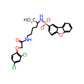 O=C(COc1ccc(Cl)cc1Cl)NCCCCC(NS(=O)(=O)c1ccc2oc3ccccc3c2c1)C(=O)O